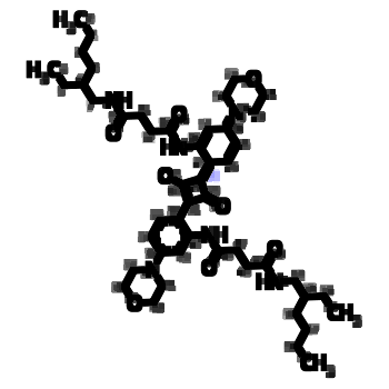 CCCCC(CC)CNC(=O)CCC(=O)NC1=CC(=[N+]2CCOCC2)C=C/C1=C1\C(=O)C(c2ccc(N3CCOCC3)cc2NC(=O)CCC(=O)NCC(CC)CCCC)=C1[O-]